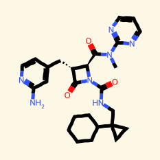 CN(C(=O)[C@@H]1[C@@H](Cc2ccnc(N)c2)C(=O)N1C(=O)NCC1(C2CCCCC2)CC1)c1ncccn1